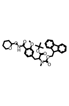 COc1cc(CC(C(=O)OC(C)(C)C)N(C)C(=O)OCC2c3ccccc3-c3ccccc32)ccc1C(=O)NOC1CCCCO1